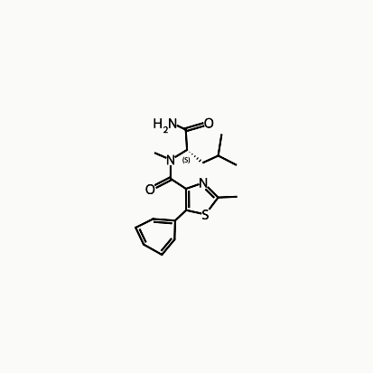 Cc1nc(C(=O)N(C)[C@@H](CC(C)C)C(N)=O)c(-c2ccccc2)s1